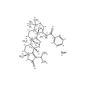 CC(C)C1=C2[C@H]3CC[C@@H]4[C@@]5(C)C(NC(=O)c6ccccc6)CCC(C)(C)[C@@H]5CC[C@@]4(C)[C@]3(C)CC[C@@]2(C)CC1=O.[NaH]